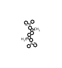 Cn1c2cc(N(c3ccccc3)c3ccccn3)ccc2c2c3ccc4c(c3ccc21)c1ccc(N(c2ccccc2)c2ccccn2)cc1n4C